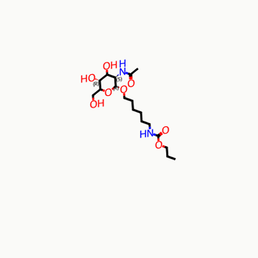 CCCOC(=O)NCCCCCCO[C@@H]1OC(CO)[C@H](O)C(O)[C@@H]1NC(C)=O